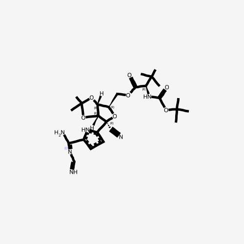 CC(C)(C)OC(=O)N[C@@H](C(=O)OC[C@H]1O[C@@](C#N)(c2ccc(/C(N)=N\C=N)[nH]2)[C@@H]2OC(C)(C)O[C@@H]21)C(C)(C)C